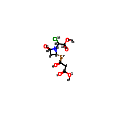 COC(=O)CC(=O)S[C@@H]1CC(=O)N1C(Cl)C(=O)OC